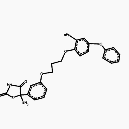 BC1(c2cccc(OCCCOc3ccc(Oc4ccccc4)cc3CCC)c2)SC(=O)NC1=O